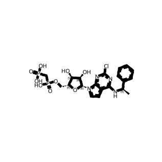 C[C@@H](Nc1nc(Cl)nc2c1ccn2[C@@H]1O[C@H](COP(=O)(O)CP(=O)(O)O)[C@@H](O)[C@H]1O)c1ccccc1